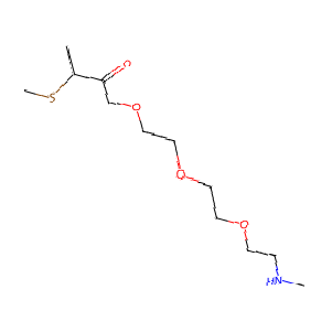 CNCCOCCOCCOCC(=O)C(C)SC